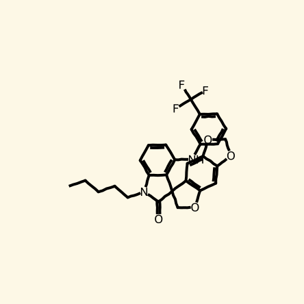 CCCCCN1C(=O)C2(COc3cc4c(cc32)OCO4)c2c(Nc3cccc(C(F)(F)F)c3)cccc21